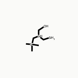 C[Si](C)(C)C[SiH](CO)C[SiH3]